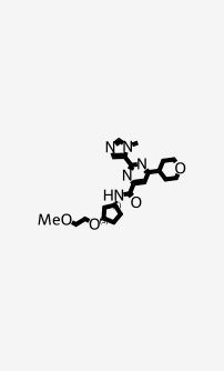 COCCO[C@H]1CC[C@H](NC(=O)c2cc(C3CCOCC3)nc(-c3cncn3C)n2)C1